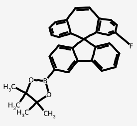 CC1(C)OB(c2ccc3c(c2)-c2ccccc2C32c3ccccc3C=Cc3ccc(F)cc32)OC1(C)C